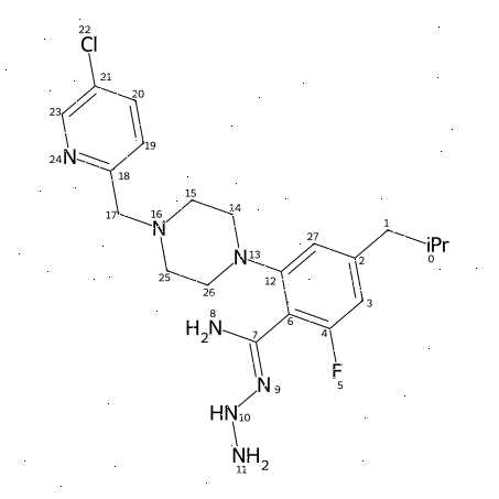 CC(C)Cc1cc(F)c(/C(N)=N/NN)c(N2CCN(Cc3ccc(Cl)cn3)CC2)c1